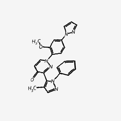 COc1cc(-n2cccn2)ccc1-n1ccc(=O)c(-c2c(C)cnn2-c2ccccc2)n1